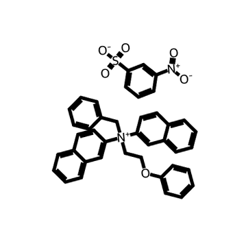 O=[N+]([O-])c1cccc(S(=O)(=O)[O-])c1.c1ccc(C[N+](CCOc2ccccc2)(c2ccc3ccccc3c2)c2ccc3ccccc3c2)cc1